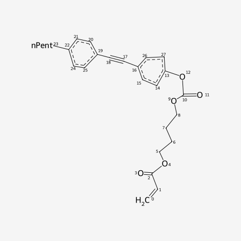 C=CC(=O)OCCCCOC(=O)Oc1ccc(C#Cc2ccc(CCCCC)cc2)cc1